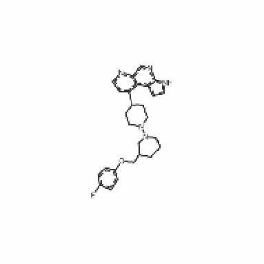 Fc1ccc(OCC2CCCN(N3CCC(c4ccnc5cnc6[nH]ccc6c45)CC3)C2)cc1